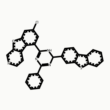 Clc1cc(C2=NC(c3ccccc3)=NC(c3ccc4c(c3)sc3ccccc34)N2)c2c(c1)oc1cnccc12